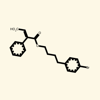 O=C(O)/C=C(/C(=O)OCCCCc1ccc(Br)cc1)c1ccccc1